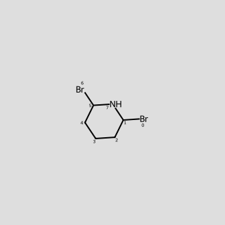 BrC1CCCC(Br)N1